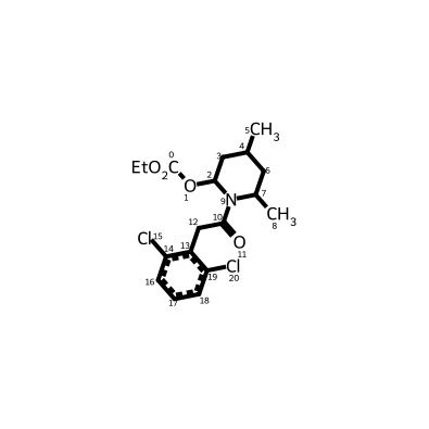 CCOC(=O)OC1CC(C)CC(C)N1C(=O)Cc1c(Cl)cccc1Cl